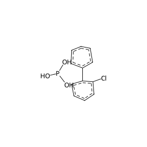 Clc1ccccc1-c1ccccc1.OP(O)O